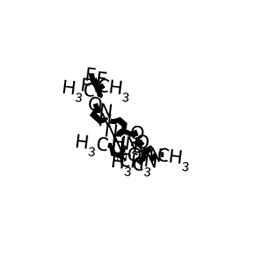 Cc1nn(C)cc1S(=O)(=O)NC(=O)c1ccc(-n2ccc(OCC(C)(C)C(F)(F)F)n2)nc1N1C[C@@H](C)CC1C